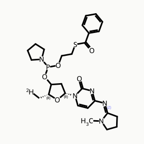 [2H]C[C@H]1O[C@@H](n2ccc(/N=C3/CCCN3C)nc2=O)CC1OP(OCCSC(=O)c1ccccc1)N1CCCC1